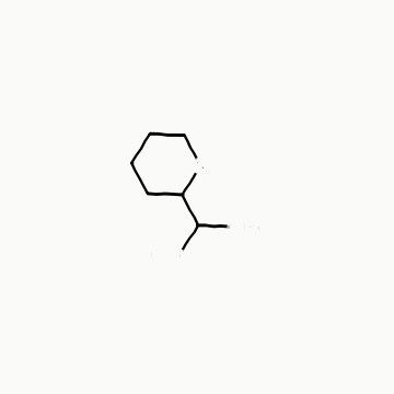 CCCCCCC(CCCCCC)C1CCCCN1